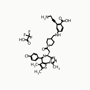 Cc1sc2c(c1C)C(c1ccc(Cl)cc1)=N[C@@H](CC(=O)N1CCC(CNc3ccc(C(=O)O)c(C#CCN)c3)CC1)c1nnc(C)n1-2.O=C(O)C(F)(F)F